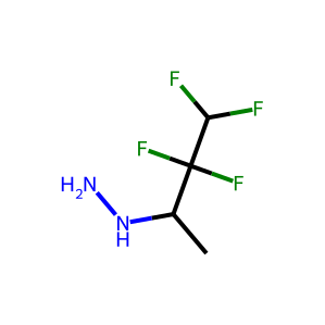 CC(NN)C(F)(F)C(F)F